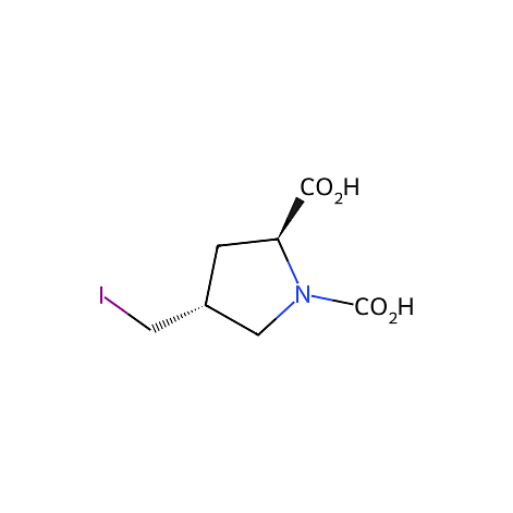 O=C(O)[C@@H]1C[C@@H](CI)CN1C(=O)O